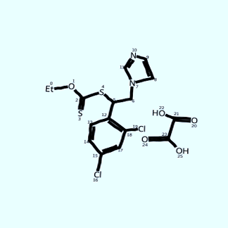 CCOC(=S)SC(Cn1ccnc1)c1ccc(Cl)cc1Cl.O=C(O)C(=O)O